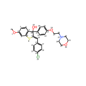 COc1ccc2c(c1)SC(=Cc1ccc(Cl)cc1)C2(O)c1ccc(OCCN2CCOCC2)cc1